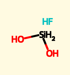 F.O[SiH2]O